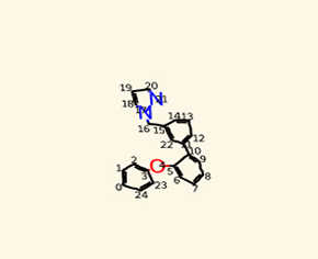 c1ccc(Oc2ccccc2-c2cccc(Cn3cccn3)c2)cc1